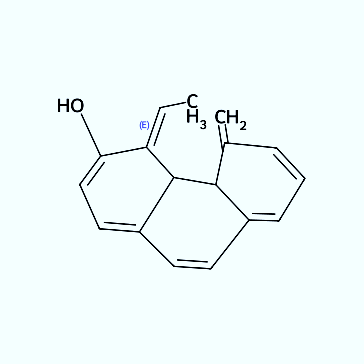 C=C1C=CC=C2C=CC3=CC=C(O)/C(=C/C)C3C12